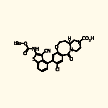 CC(C)(C)OC(=O)Nc1sc2cccc(-c3cc4c(cc3Cl)C(=O)N3CCN(C(=O)O)C[C@@H]3CCO4)c2c1C#N